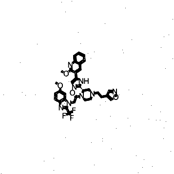 COc1ccc2nc(C(F)(F)F)n(CC(=O)N3CCN(CCc4cnoc4)C[C@H]3c3ncc(-c4cc5ccccc5nc4OC)[nH]3)c2c1